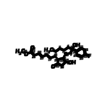 CCCCCC(O)(CS[C@H]1C(O)CC(=O)[C@@H]1CCCCCCC(=O)OC)c1ccc(F)cc1